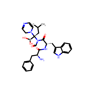 CC(C)C[C@@](B(O)O)(N1C=CN=CC1)N(C=O)C(=O)[C@H](Cc1c[nH]c2ccccc12)NC(=O)[C@@H](N)Cc1ccccc1